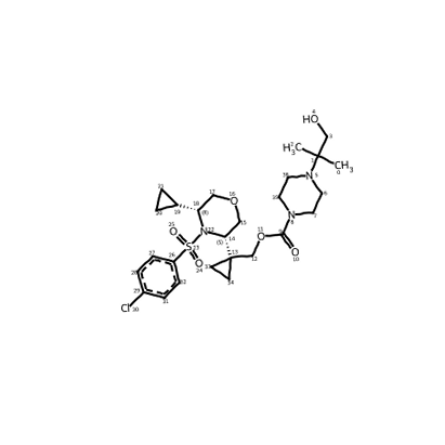 CC(C)(CO)N1CCN(C(=O)OCC2([C@H]3COC[C@@H](C4CC4)N3S(=O)(=O)c3ccc(Cl)cc3)CC2)CC1